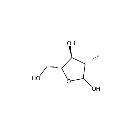 OC[C@H]1OC(O)[C@@H](F)[C@@H]1O